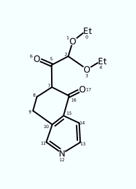 CCOC(OCC)C(=O)C1CCc2cnccc2C1=O